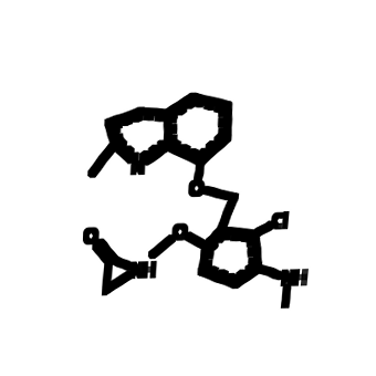 CNc1ccc(OC)c(COc2cccc3ccc(C)nc23)c1Cl.O=C1CN1